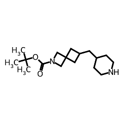 CC(C)(C)OC(=O)N1CC2(CC(CC3CCNCC3)C2)C1